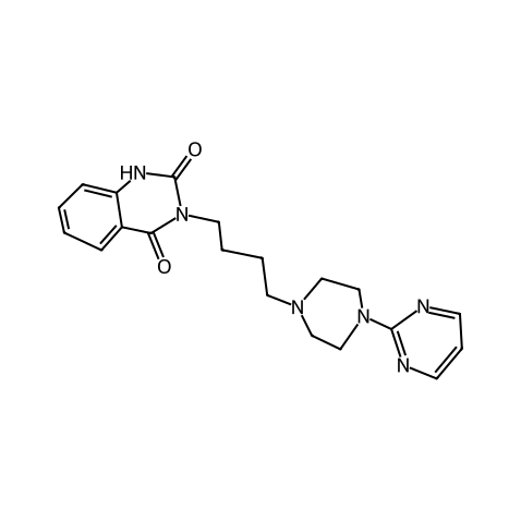 O=c1[nH]c2ccccc2c(=O)n1CCCCN1CCN(c2ncccn2)CC1